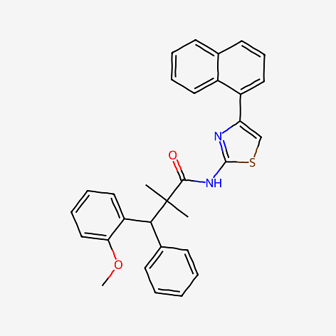 COc1ccccc1C(c1ccccc1)C(C)(C)C(=O)Nc1nc(-c2cccc3ccccc23)cs1